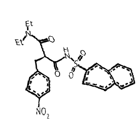 CCN(CC)C(=O)[C@H](Cc1ccc([N+](=O)[O-])cc1)C(=O)NS(=O)(=O)c1ccc2ccccc2c1